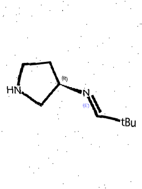 CC(C)(C)/C=N/[C@@H]1CCNC1